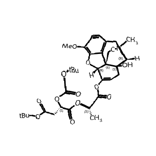 COc1ccc2c3c1O[C@H]1C(OC(=O)[C@H](C)OC(=O)[C@H](CC(=O)OC(C)(C)C)OC(=O)OC(C)(C)C)=CC[C@@]4(O)[C@@H](C2)N(C)CC[C@]314